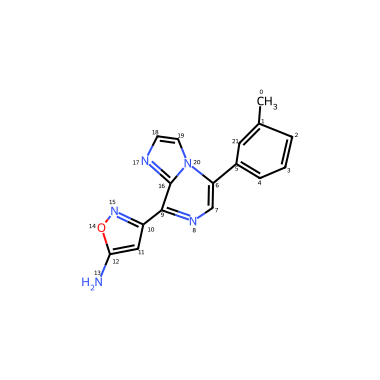 Cc1cccc(-c2cnc(-c3cc(N)on3)c3nccn23)c1